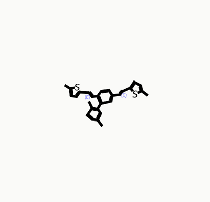 Cc1ccc(C)c(-c2cc(/C=C/c3ccc(C)s3)ccc2/C=C/c2ccc(C)s2)c1